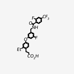 CCc1cc(Oc2cc(F)cc(CNC(=O)c3ccc(C(F)(F)F)cc3F)c2)ccc1CCC(=O)O